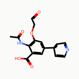 CC(=O)Nc1c(OCC=O)cc(-c2ccncc2)cc1C(=O)O